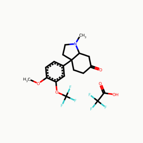 COc1ccc(C23CCC(=O)CC2N(C)CC3)cc1OC(F)(F)F.O=C(O)C(F)(F)F